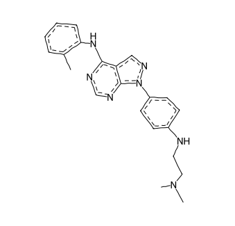 Cc1ccccc1Nc1ncnc2c1cnn2-c1ccc(NCCN(C)C)cc1